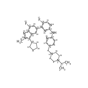 CC(C)N1CCN(Cc2ccc(Nc3ncc(F)c(-c4cc(F)c5nn(C)c(C6CCCC6)c5c4)n3)nc2)CC1